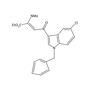 CCOC(=O)/C(=C/C(=O)c1cn(Cc2ccccc2)c2ccc(Cl)cc12)NC